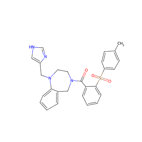 Cc1ccc(S(=O)(=O)c2ccccc2C(=O)N2CCN(Cc3c[nH]cn3)c3ccccc3C2)cc1